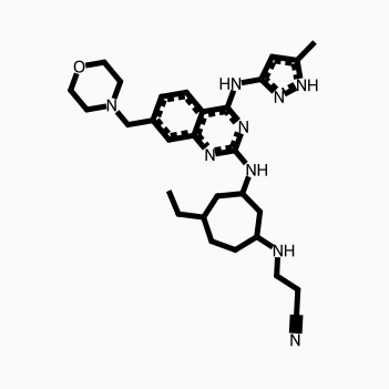 CCC1CCC(NCCC#N)CC(Nc2nc(Nc3cc(C)[nH]n3)c3ccc(CN4CCOCC4)cc3n2)C1